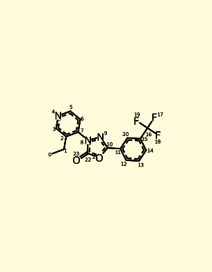 CCc1cnccc1-n1nc(-c2cccc(C(F)(F)F)c2)oc1=O